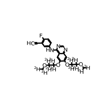 [2H]C([2H])OC([2H])([2H])C([2H])([2H])Oc1cc2ncnc(Nc3ccc(F)c(C#C)c3)c2cc1OC([2H])([2H])C([2H])([2H])OC([2H])[2H]